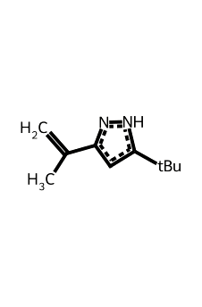 C=C(C)c1cc(C(C)(C)C)[nH]n1